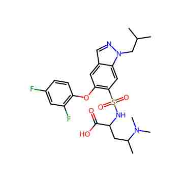 CC(C)Cn1ncc2cc(Oc3ccc(F)cc3F)c(S(=O)(=O)NC(CC(C)N(C)C)C(=O)O)cc21